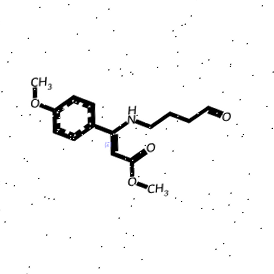 COC(=O)/C=C(\NCCCC=O)c1ccc(OC)cc1